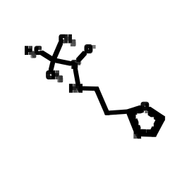 CC(C)(C)[S+]([O-])NCCc1ncco1